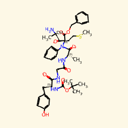 CSCC[C@](C(=O)OCc1ccccc1)(C(=O)C(C)(C)N)N(C(=O)[C@H](C)NC(=O)CNC(=O)[C@H](Cc1ccc(O)cc1)NC(=O)OC(C)(C)C)c1ccccc1